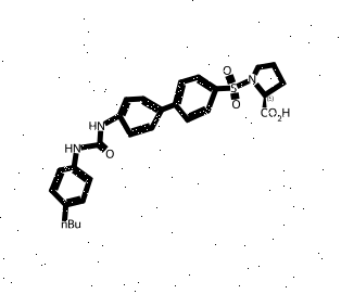 CCCCc1ccc(NC(=O)Nc2ccc(-c3ccc(S(=O)(=O)N4CCC[C@H]4C(=O)O)cc3)cc2)cc1